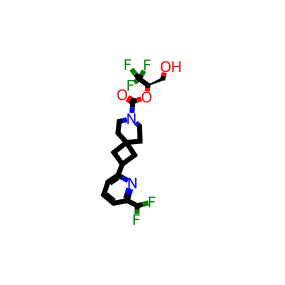 O=C(O[C@H](CO)C(F)(F)F)N1CCC2(CC1)CC(c1cccc(C(F)F)n1)C2